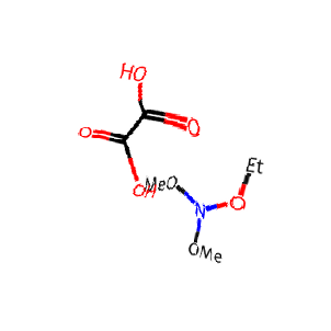 CCON(OC)OC.O=C(O)C(=O)O